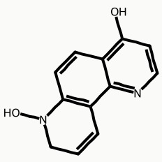 Oc1ccnc2c3c(ccc12)N(O)CC=C3